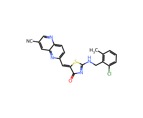 Cc1cccc(Cl)c1CNC1=NC(=O)/C(=C/c2ccc3ncc(C#N)cc3n2)S1